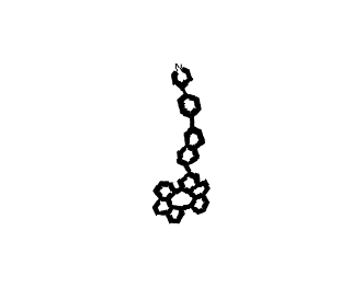 c1cc2ccc3cccc4c5cc(-c6ccc7cc(-c8ccc(-c9ccncc9)cc8)ccc7c6)cc6ccc7cccc(c(c1)c2c34)c7c65